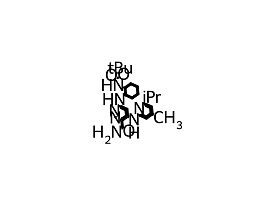 Cc1cc(Nc2cc(N[C@@H]3CCCC[C@@H]3NC(=O)OC(C)(C)C)nnc2C(N)=O)nc(C(C)C)c1